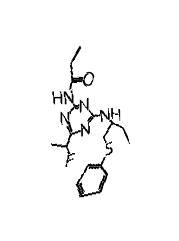 CCC(=O)Nc1nc(NC(CC)CSc2ccccc2)nc(C(C)F)n1